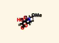 COCCn1c(C)cc2oc(=O)c(C)c(O)c2c1=O